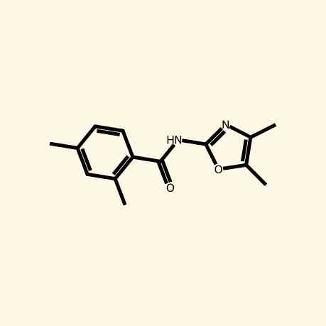 Cc1ccc(C(=O)Nc2nc(C)c(C)o2)c(C)c1